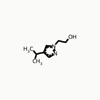 CC(C)c1cnn(CCO)c1